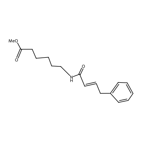 COC(=O)CCCCCNC(=O)C=CCc1ccccc1